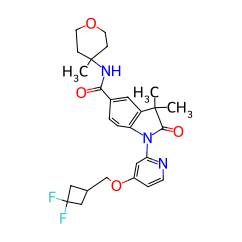 CC1(NC(=O)c2ccc3c(c2)C(C)(C)C(=O)N3c2cc(OCC3CC(F)(F)C3)ccn2)CCOCC1